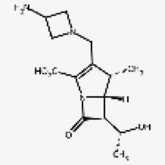 C[C@@H](O)[C@H]1C(=O)N2C(C(=O)O)=C(CN3CC(N)C3)[C@H](C)[C@H]12